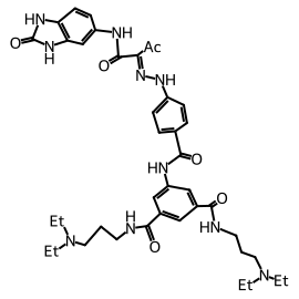 CCN(CC)CCCNC(=O)c1cc(NC(=O)c2ccc(N/N=C(\C(C)=O)C(=O)Nc3ccc4[nH]c(=O)[nH]c4c3)cc2)cc(C(=O)NCCCN(CC)CC)c1